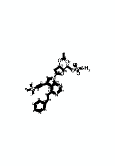 CC(=O)O[C@H]1C[C@H](n2cc(C#C[Si](C)(C)C)c3c(CCc4ccccc4)ncnc32)O[C@@H]1COS(N)(=O)=O